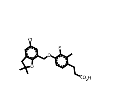 Cc1c(CCC(=O)O)ccc(OCc2cc(Cl)cc3c2OC(C)(C)C3)c1F